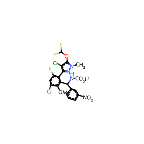 COc1c(Cl)cc(F)c(-c2nn(C)c(OC(F)F)c2Cl)c1C(NC(=O)O)c1cccc([N+](=O)[O-])c1